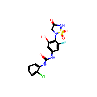 O=C1CN(c2c(O)cc(NC(=O)Nc3ccccc3Cl)cc2F)S(=O)(=O)N1